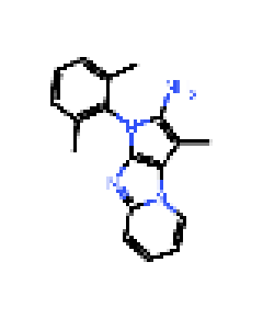 Cc1cccc(C)c1-n1c(N)c(C)c2c1nc1ccccn12